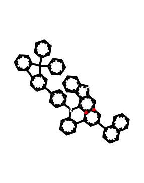 c1ccc(C2(c3ccccc3)c3ccccc3-c3ccc(-c4ccc(N(c5ccccc5-c5cccc(-c6cccc7ccccc67)c5)c5cccc6sc7ccccc7c56)cc4)cc32)cc1